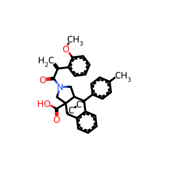 C=C(C(=O)N1CC2C3(c4ccc(C)cc4)CCC(c4ccccc43)C2(C(=O)O)C1)c1ccccc1OC